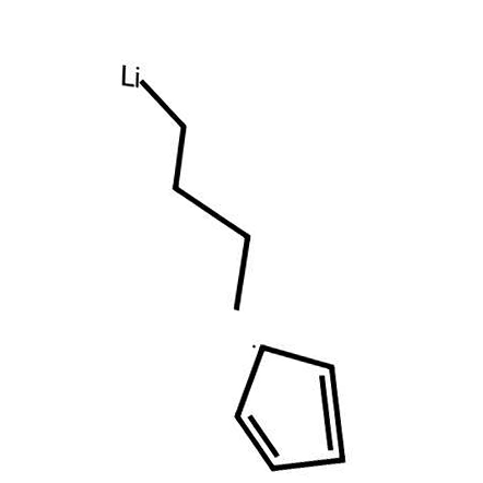 [CH]1C=CC=C1.[Li][CH2]CCC